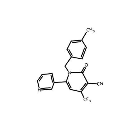 Cc1ccc(Cn2c(-c3cccnc3)cc(C(F)(F)F)c(C#N)c2=O)cc1